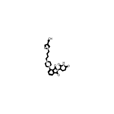 C#Cc1cnn(CCCCN2CCN(c3cccc4c3C(=O)N(C3CCC(=O)NC3=O)C4=O)CC2)c1